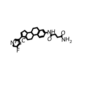 C[C@]12CCC3c4ccc(NC(=O)CCC(N)=O)cc4CCC3C1CC=C2c1cncc(F)c1